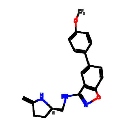 C=C1CC[C@H](CNc2noc3ccc(-c4ccc(OC(F)(F)F)cc4)cc23)N1